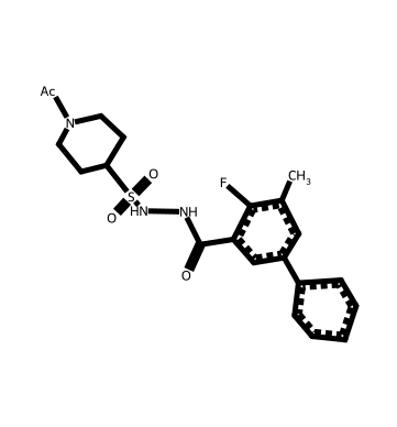 CC(=O)N1CCC(S(=O)(=O)NNC(=O)c2cc(-c3ccccc3)cc(C)c2F)CC1